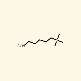 CC(=O)NCCSCC[Si](C)(C)C